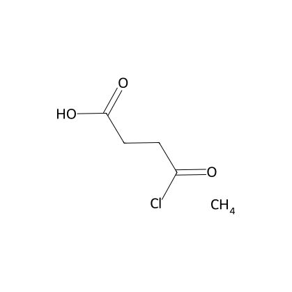 C.O=C(O)CCC(=O)Cl